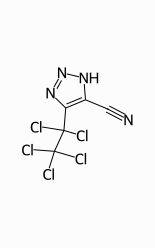 N#Cc1[nH]nnc1C(Cl)(Cl)C(Cl)(Cl)Cl